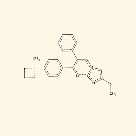 CCc1cn2cc(-c3ccccc3)c(-c3ccc(C4(N)CCC4)cc3)nc2n1